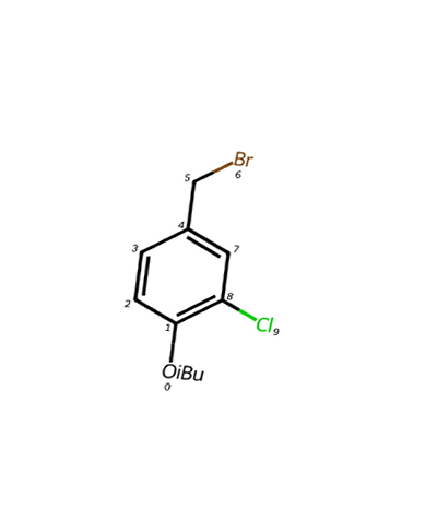 CC(C)COc1ccc(CBr)cc1Cl